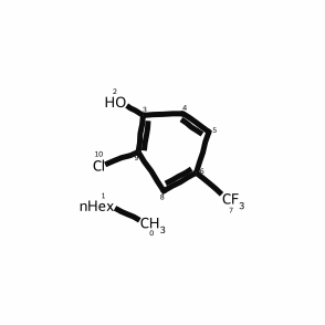 CCCCCCC.Oc1ccc(C(F)(F)F)cc1Cl